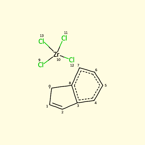 [CH]1C=Cc2ccccc21.[Cl][Zr]([Cl])([Cl])[Cl]